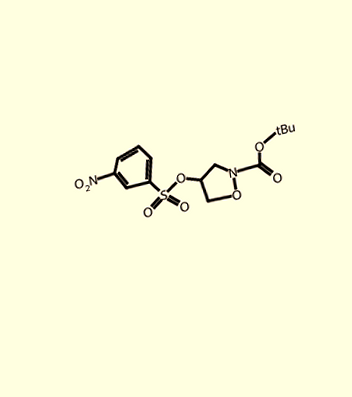 CC(C)(C)OC(=O)N1CC(OS(=O)(=O)c2cccc([N+](=O)[O-])c2)CO1